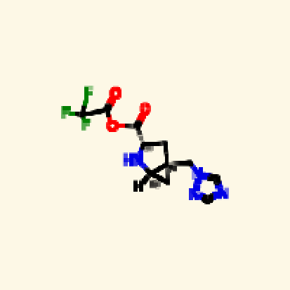 O=C(OC(=O)C(F)(F)F)[C@@H]1C[C@]2(Cn3cncn3)C[C@@H]2N1